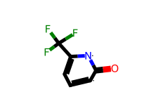 O=C1[C]=CC=C(C(F)(F)F)[N]1